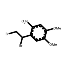 COc1cc(C(Br)CBr)c([N+](=O)[O-])cc1OC